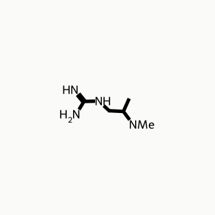 CNC(C)CNC(=N)N